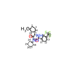 Cc1cccc(C(NC(=O)c2cccc(C(F)(F)F)c2)C(=O)NC2CCCCC2)c1